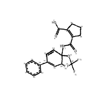 O=C(O)C1=C(C(=O)NC2(OC(F)(F)F)C=CC(c3ccccc3)=CC2F)CCC1